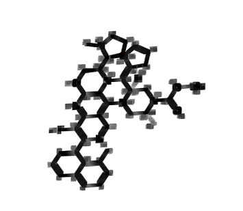 Cc1cccc2cccc(-c3ncc4c5c6c(nc4c3F)OC[C@@H]([C@@H]3CCCN3C)N6C(=C3CC=CO3)[C@H]3CN(C(=O)OC(C)(C)C)[C@H](C)CN53)c12